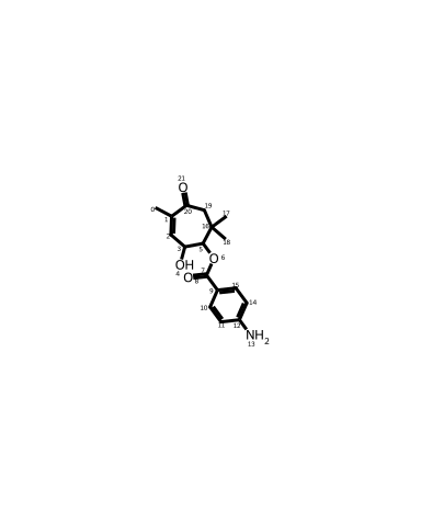 CC1=CC(O)C(OC(=O)c2ccc(N)cc2)C(C)(C)CC1=O